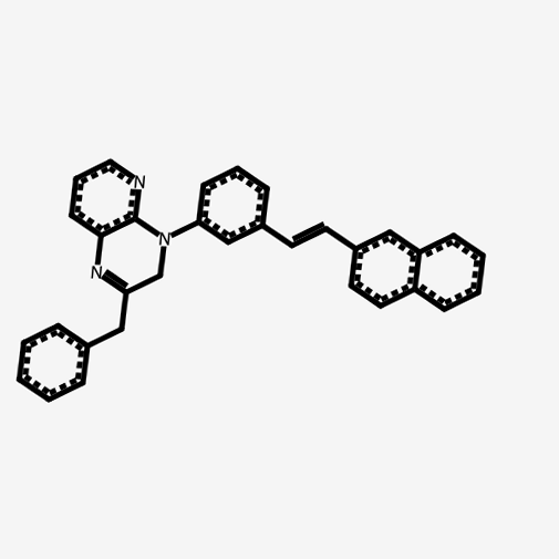 C(=C\c1ccc2ccccc2c1)/c1cccc(N2CC(Cc3ccccc3)=Nc3cccnc32)c1